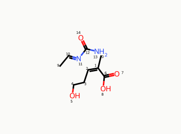 CC(=CCCO)C(=O)O.CC=NC(N)=O